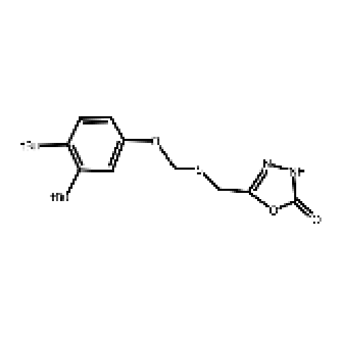 CC(C)(C)c1ccc(OCSCc2n[nH]c(=O)o2)cc1C(C)(C)C